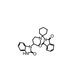 O=C1c2ccccc2C(=O)N1C1(N2CCC(n3c(=O)[nH]c4ccccc43)CC2)CCCCC1